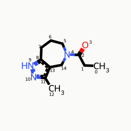 CCC(=O)N1CCCc2[nH]nc(C)c2C1